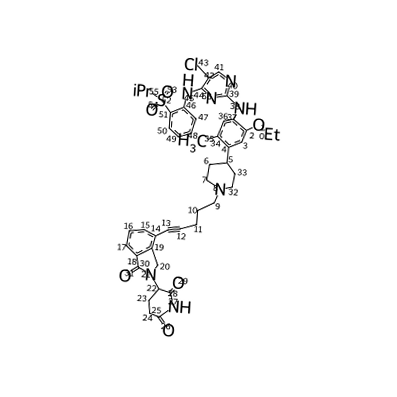 CCOc1cc(C2CCN(CCCC#Cc3cccc4c3CN(C3CCC(=O)NC3=O)C4=O)CC2)c(C)cc1Nc1ncc(Cl)c(Nc2ccccc2S(=O)(=O)C(C)C)n1